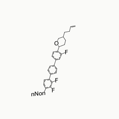 C=CCCC1CCC(c2ccc(-c3ccc(-c4ccc(CCCCCCCCC)c(F)c4F)cc3)cc2F)OC1